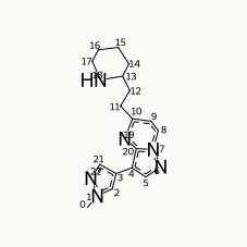 Cn1cc(-c2cnn3ccc(CCC4CCCCN4)nc23)cn1